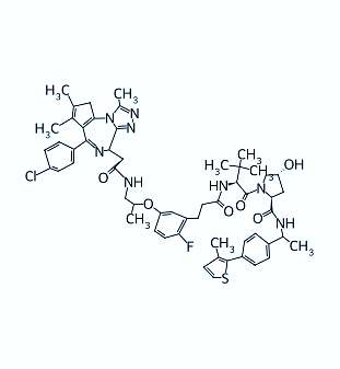 CC1=C(C)C2=C(C1)n1c(C)nnc1C(CC(=O)NCC(C)Oc1ccc(F)c(CCC(=O)N[C@H](C(=O)N3C[C@H](O)C[C@H]3C(=O)NC(C)c3ccc(-c4sccc4C)cc3)C(C)(C)C)c1)N=C2c1ccc(Cl)cc1